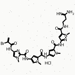 C=C(Br)C(=O)Nc1cn(C)c(C(=O)Nc2cc(C(=O)Nc3cc(C(=O)Nc4cc(C(=O)NCCC(=N)N)n(C)n4)n(C)c3)n(C)c2)n1.Cl